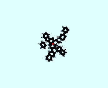 c1ccc(-c2ccc3nc(-n4c5cc6ccccc6cc5c5c(-c6ccc7ccccc7c6)cccc54)c(-c4ccc5c(c4)c4ccccc4n5-c4ccccc4)nc3c2)cc1